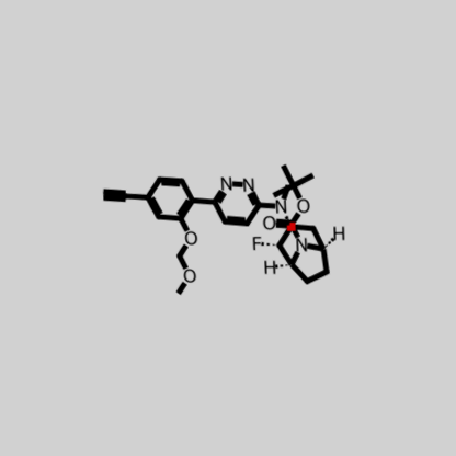 C#Cc1ccc(-c2ccc(N(C)[C@@H]3C[C@H]4CC[C@@H]([C@@H]3F)N4C(=O)OC(C)(C)C)nn2)c(OCOC)c1